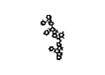 Cc1ccc(/C(=C\c2ccc3c(c2)C(C)(C)c2cc(-c4ccc5c6ccccc6n(-c6ccccc6)c5c4)c4oc5ccccc5c4c2-3)Cc2ccc3c(c2)C(C)(C)c2c4c(c5oc6ccccc6c5c2-3)-c2ccccc2C4(C)C)c(C)c1